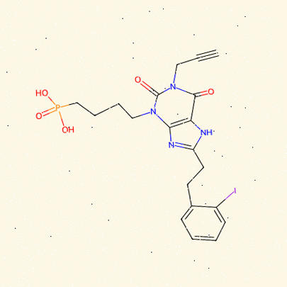 C#CCn1c(=O)c2[nH]c(CCc3ccccc3I)nc2n(CCCCP(=O)(O)O)c1=O